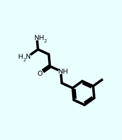 Cc1cccc(CNC(=O)CC(N)N)c1